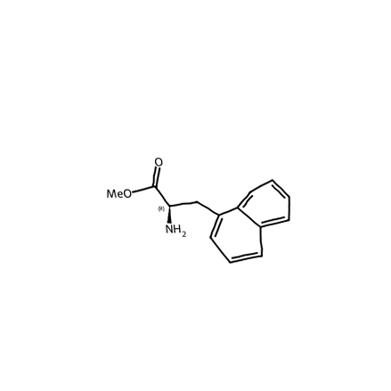 COC(=O)[C@H](N)Cc1cccc2ccccc12